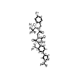 C[C@H](N(Cc1ccc(F)cc1)C(=O)CN1C(=O)N[C@]2(C[C@@H](F)c3cc(-c4cnn(C(F)F)c4)ccc32)C1=O)C(F)(F)F